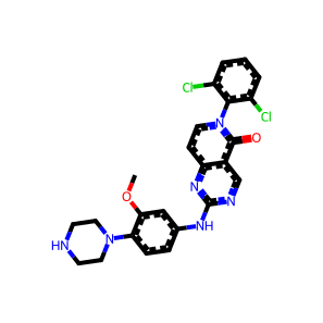 COc1cc(Nc2ncc3c(=O)n(-c4c(Cl)cccc4Cl)ccc3n2)ccc1N1CCNCC1